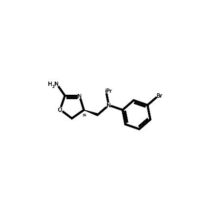 CC(C)N(C[C@H]1COC(N)=N1)c1cccc(Br)c1